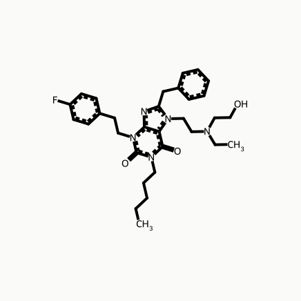 CCCCCn1c(=O)c2c(nc(Cc3ccccc3)n2CCN(CC)CCO)n(CCc2ccc(F)cc2)c1=O